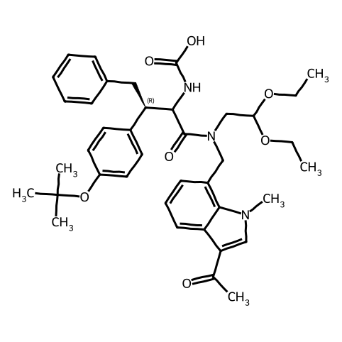 CCOC(CN(Cc1cccc2c(C(C)=O)cn(C)c12)C(=O)C(NC(=O)O)[C@H](Cc1ccccc1)c1ccc(OC(C)(C)C)cc1)OCC